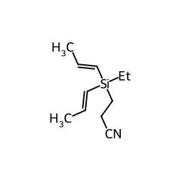 CC=C[Si](C=CC)(CC)CCC#N